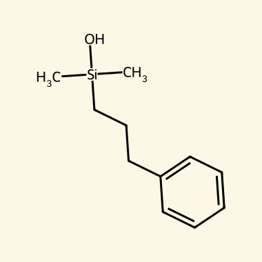 C[Si](C)(O)CCCc1ccccc1